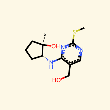 CSc1ncc(CO)c(N[C@@H]2CCC[C@@]2(C)O)n1